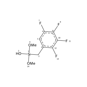 CO[Si](O)(Cc1cc(F)c(F)c(F)c1F)OC